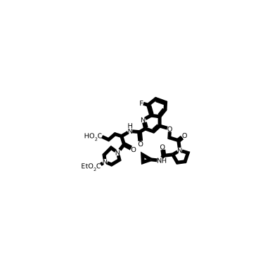 CCOC(=O)N1CCN(C(=O)C(CCC(=O)O)NC(=O)c2cc(OCC(=O)N3CCCC3C(=O)NC3CC3)c3cccc(F)c3n2)CC1